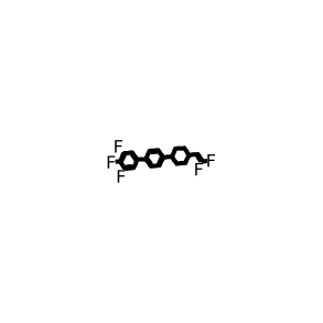 FC(F)=CC1CCC(c2ccc(-c3cc(F)c(F)c(F)c3)cc2)CC1